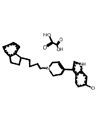 Clc1ccc2c(C3=CCN(CCCCC4CCc5ccccc54)CC3)c[nH]c2c1.O=C(O)C(=O)O